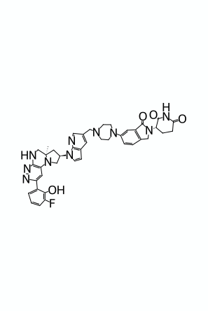 C[C@@]12CNc3nnc(-c4cccc(F)c4O)cc3N1C[C@H](n1ccc3cc(CN4CCN(c5ccc6c(c5)C(=O)N([C@H]5CCC(=O)NC5=O)C6)CC4)cnc31)C2